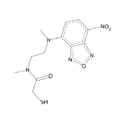 CN(CCN(C)c1ccc([N+](=O)[O-])c2nonc12)C(=O)CS